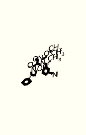 CC[C@H](c1cccc(C#N)c1)n1c(COC(C)C)nc(=O)c(C(=O)N2CC[C@H](c3ccccc3)C2)c1O